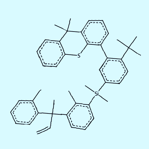 C=CC(C)(c1ccccc1C)c1cccc([Si](C)(C)c2ccc(C(C)(C)C)c(-c3cccc4c3Sc3ccccc3C4(C)C)c2)c1C